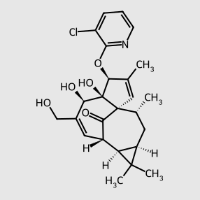 CC1=C[C@]23C(=O)[C@@H](C=C(CO)[C@@H](O)[C@]2(O)[C@H]1Oc1ncccc1Cl)[C@H]1[C@@H](C[C@H]3C)C1(C)C